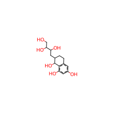 OCC(O)C(O)CC1CCc2cc(O)cc(O)c2C1O